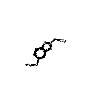 CCCCOc1ccc2nn(CC(=O)O)nc2c1